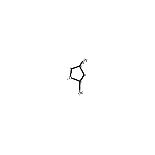 CC(=O)C1CC(C(C)C)CO1